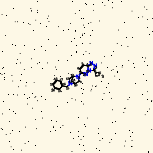 FC(F)(F)c1nnc2ccc(N3CC4CC3CN4Cc3ccccc3)nn12